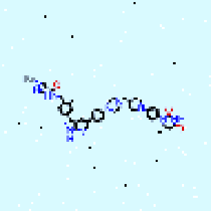 Cc1cc(-c2n[nH]c3ncc(-c4ccc(N5CCN(CC6CCN(c7ccc(N8CCC(=O)NC8=O)cc7)CC6)CC5)cc4)cc23)ccc1CNC(=O)c1cnn(C(C)(C)C)c1